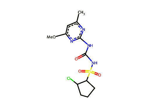 COc1cc(C)nc(NC(=O)NS(=O)(=O)C2CCCC2Cl)n1